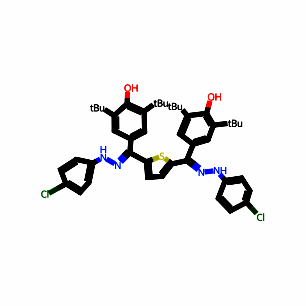 CC(C)(C)c1cc(/C(=N\Nc2ccc(Cl)cc2)c2ccc(/C(=N/Nc3ccc(Cl)cc3)c3cc(C(C)(C)C)c(O)c(C(C)(C)C)c3)s2)cc(C(C)(C)C)c1O